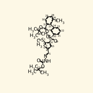 CSc1sc(C=NNC(=O)OC(C)(C)C)cc1S(=O)(=O)c1cccc(-c2c(C)cccc2C(=O)OC(C)(C)C)c1